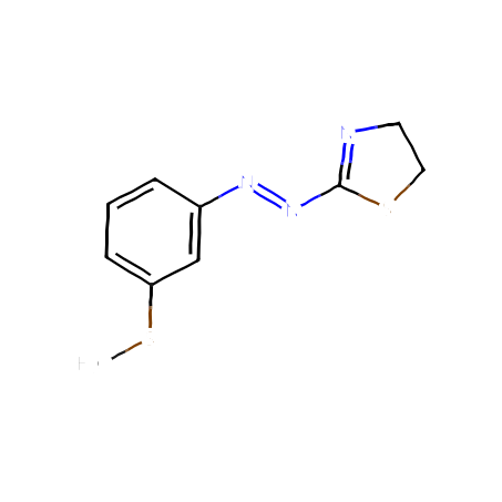 FC(F)(F)Sc1cccc(N=NC2=NCCS2)c1